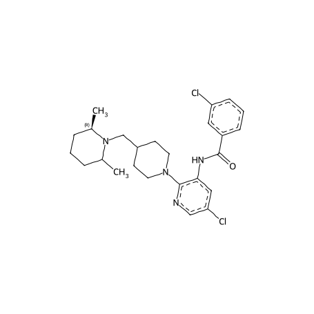 CC1CCC[C@@H](C)N1CC1CCN(c2ncc(Cl)cc2NC(=O)c2cccc(Cl)c2)CC1